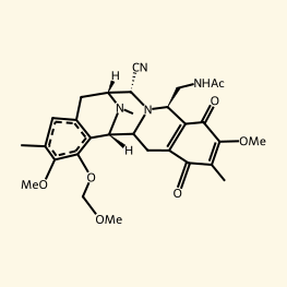 COCOc1c(OC)c(C)cc2c1[C@H]1C3CC4=C(C(=O)C(OC)=C(C)C4=O)[C@H](CNC(C)=O)N3[C@@H](C#N)[C@@H](C2)N1C